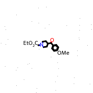 CCOC(=O)CN1CCC(C(=O)c2ccc(OC)cc2)CC1